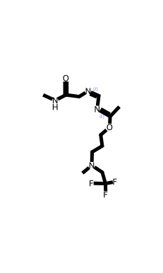 CNC(=O)C/N=C\N=C(/C)OCCCN(C)CC(F)(F)F